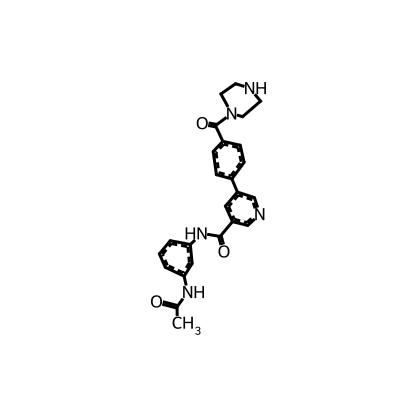 CC(=O)Nc1cccc(NC(=O)c2cncc(-c3ccc(C(=O)N4CCNCC4)cc3)c2)c1